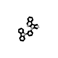 c1cc(-n2c3ccccc3c3ccccc32)cc(-n2c3cscc3c3c4ccccc4cnc32)c1